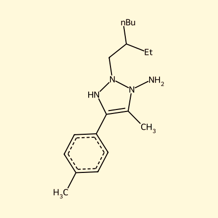 CCCCC(CC)CN1NC(c2ccc(C)cc2)=C(C)N1N